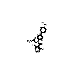 CC(O)CN(C(=O)c1c(Cl)ncnc1Cl)c1ccc([C@H]2CC[C@H](CC(=O)O)CC2)cc1